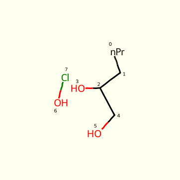 CCCCC(O)CO.OCl